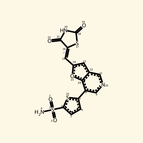 NS(=O)(=O)c1ccc(-c2cncc3cc(/C=C4\SC(=O)NC4=O)oc23)s1